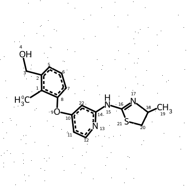 Cc1c(CO)cccc1Oc1ccnc(NC2=NC(C)CS2)c1